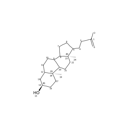 C=C(C)CCC1CCC2C3CCC4C[C@H](O)CC[C@]4(C)C3CC[C@]12C